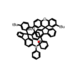 CC(C)(C)C1=CC2=C(CC1)Oc1ccc(C(C)(C)C)cc1C21c2ccccc2-c2ccc(N(c3ccccc3)C3(C)CC=CC=C3c3cccc4c3-c3ccccc3C43c4cc(C(C)(C)C)ccc4Oc4ccc(C(C)(C)C)cc43)cc21